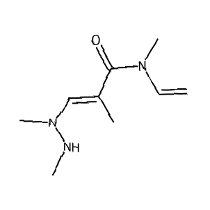 C=CN(C)C(=O)/C(C)=C/N(C)NC